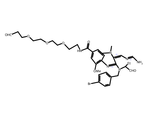 CCC(C=O)N(Cc1ccc(Br)cc1)C(=N/c1ccc(C(=O)NCCOCCOCCOCCC=O)cc1OC)/C(=C\N=C\N)N(C)C